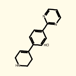 C1=C(c2ccc(-c3ncccn3)cc2)CCNC1.Cl